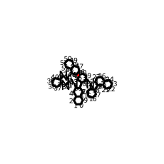 c1ccc2cc3c(cc2c1)c1c(-n2c4ccccc4c4c5ccccc5ccc42)cccc1n3-c1nc2ccccc2nc1-c1cccc2ccccc12